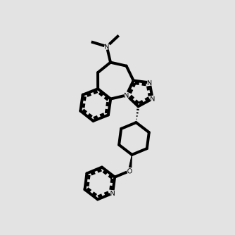 CN(C)C1Cc2ccccc2-n2c(nnc2[C@H]2CC[C@H](Oc3ccccn3)CC2)C1